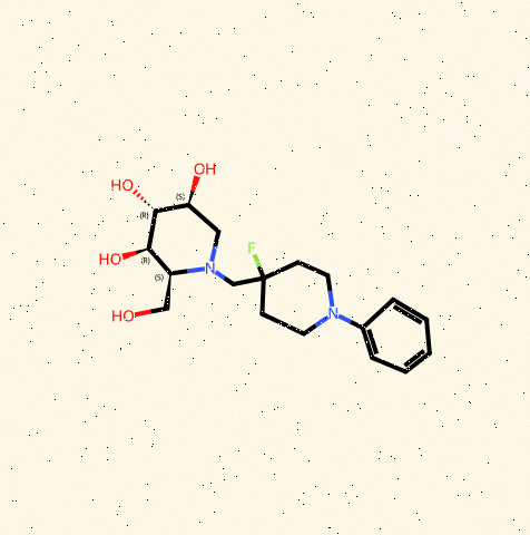 OC[C@H]1[C@@H](O)[C@H](O)[C@@H](O)CN1CC1(F)CCN(c2ccccc2)CC1